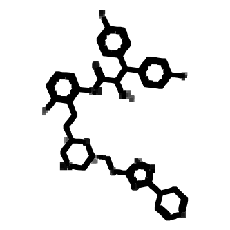 NC(C(=O)Nc1cccc(F)c1CC[C@@H]1CNC[C@@H](CSc2nnc(C3C=CN=CC3)o2)O1)C(c1ccc(F)cc1)c1ccc(F)cc1